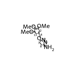 COc1cc(COc2ccc(N)nn2)cc(OC)c1OC